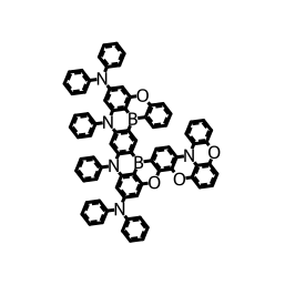 c1ccc(N(c2ccccc2)c2cc3c4c(c2)N(c2ccccc2)c2cc5c(cc2B4c2ccccc2O3)B2c3ccc4c(c3Oc3cc(N(c6ccccc6)c6ccccc6)cc(c32)N5c2ccccc2)Oc2cccc3c2N4c2ccccc2O3)cc1